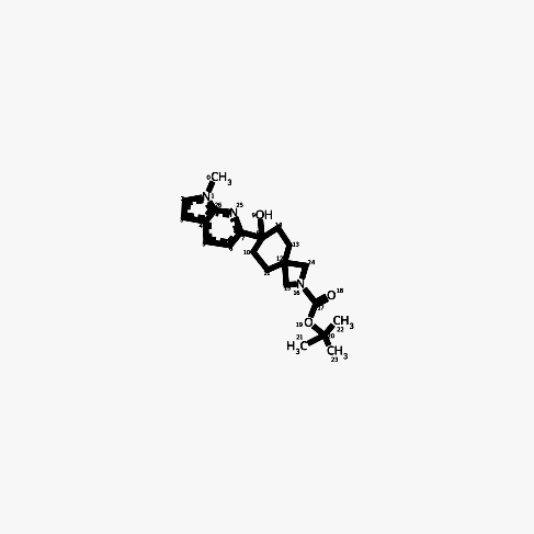 Cn1ccc2ccc(C3(O)CCC4(CC3)CN(C(=O)OC(C)(C)C)C4)nc21